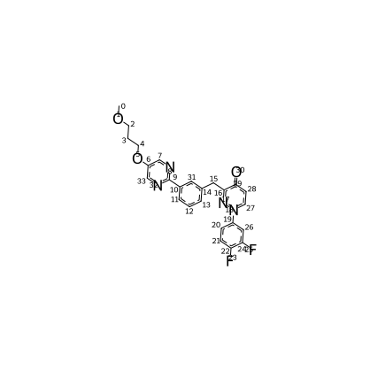 COCCCOc1cnc(-c2cccc(Cc3nn(-c4ccc(F)c(F)c4)ccc3=O)c2)nc1